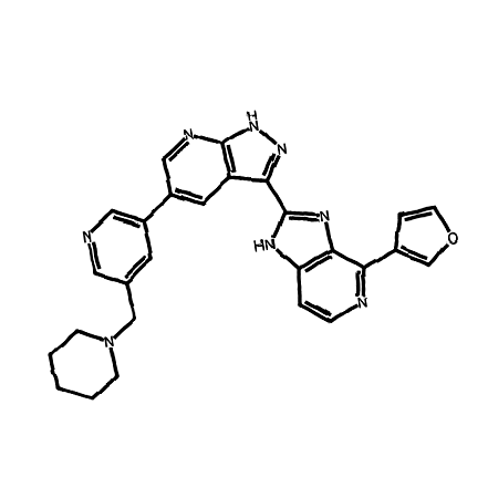 c1cc2[nH]c(-c3n[nH]c4ncc(-c5cncc(CN6CCCCC6)c5)cc34)nc2c(-c2ccoc2)n1